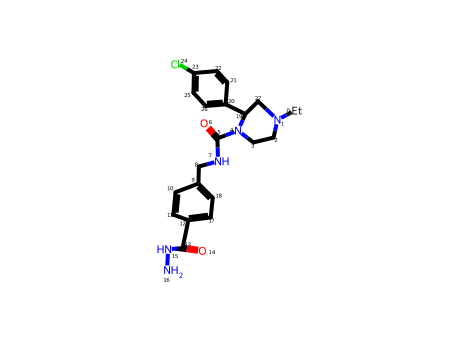 CCN1CCN(C(=O)NCc2ccc(C(=O)NN)cc2)C(c2ccc(Cl)cc2)C1